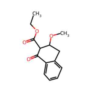 CCOC(=O)C1C(=O)c2ccccc2CC1OC